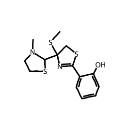 CSC1(C2SCCN2C)CSC(c2ccccc2O)=N1